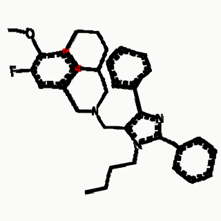 CCCCn1c(-c2ccccc2)nc(-c2ccccc2)c1CN(Cc1ccc(OC)c(F)c1)CC1CCCCC1